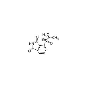 CN(C)S(=O)(=O)c1cccc2c1C(=O)NC2=O